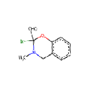 CN1Cc2ccccc2OC1(Br)C=O